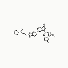 C[C@H](NC(=O)c1c[nH]c2ccc(-c3ccc4nc(CCCC(=O)C5CCOCC5)sc4c3)cc12)c1cccc(F)c1